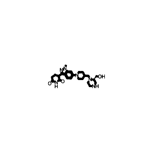 Cn1nc(C2CCC(=O)NC2=O)c2ccc(N3CCC(CN4CCNC[C@@H]4CO)CC3)cc21